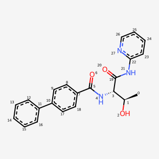 C[C@@H](O)[C@H](NC(=O)c1ccc(-c2ccccc2)cc1)C(=O)Nc1ccccn1